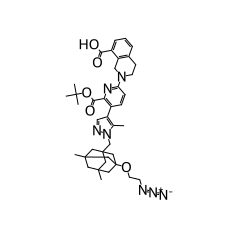 Cc1c(-c2ccc(N3CCc4cccc(C(=O)O)c4C3)nc2C(=O)OC(C)(C)C)cnn1CC12CC3(C)CC(C)(C1)CC(OCCN=[N+]=[N-])(C3)C2